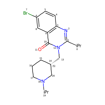 CC(C)c1nc2ccc(Br)cc2c(=O)n1C[C@H]1CCCN(C(C)C)C1